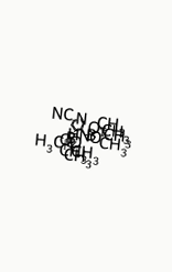 CC1(C)OB(Nc2cnc(C#N)cc2B2OC(C)(C)C(C)(C)O2)OC1(C)C